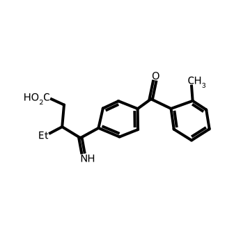 CCC(CC(=O)O)C(=N)c1ccc(C(=O)c2ccccc2C)cc1